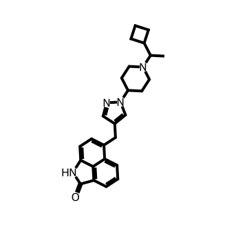 CC(C1CCC1)N1CCC(n2cc(Cc3ccc4c5c(cccc35)C(=O)N4)cn2)CC1